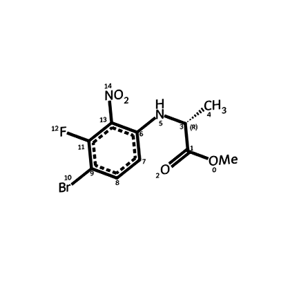 COC(=O)[C@@H](C)Nc1ccc(Br)c(F)c1[N+](=O)[O-]